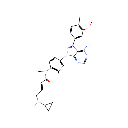 COc1cc(-c2nn(-c3ccc(N(C)C(=O)/C=C/CN(C)C4CC4)c(F)c3)c3ncnc(N)c23)ccc1C